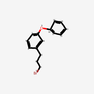 BrCCCc1cccc(Oc2ccccc2)c1